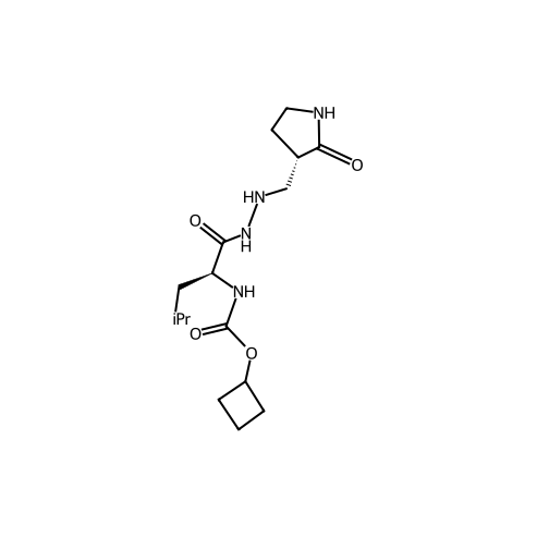 CC(C)C[C@H](NC(=O)OC1CCC1)C(=O)NNC[C@@H]1CCNC1=O